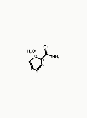 NC(=O)C1C=CC=CS1.O